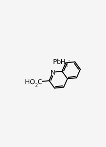 O=C(O)c1ccc2ccccc2n1.[PbH2]